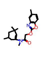 Cc1ccc2oc(OCC(=O)N(C)C3=CC(C)(C)CC(C)C3)nc2c1